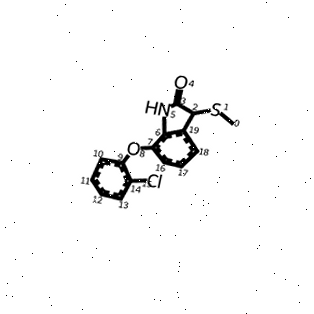 CSC1C(=O)Nc2c(Oc3ccccc3Cl)cccc21